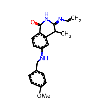 C=C/N=C1/NC(=O)c2ccc(NCc3ccc(OC)cc3)cc2C1C